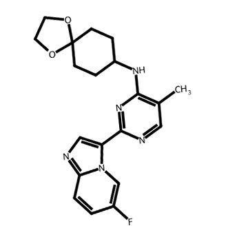 Cc1cnc(-c2cnc3ccc(F)cn23)nc1NC1CCC2(CC1)OCCO2